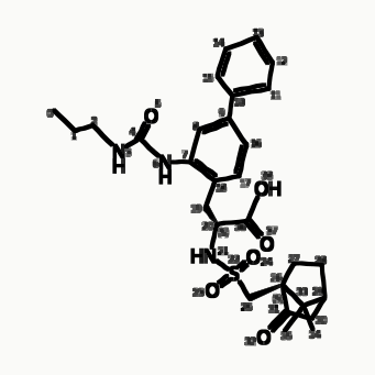 CCCNC(=O)Nc1cc(-c2ccccc2)ccc1C[C@H](NS(=O)(=O)C[C@]12CCC(CC1=O)C2(C)C)C(=O)O